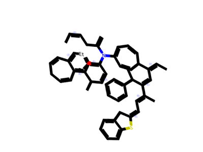 C=C/C(=C1/C=CCC=C/C1=C/CC)C(C)/C=C\C(=C/CC)N(C(=C)C/C=C\C)C1=CC=CC(C(=C/C)/C=C(/C(C)=C/C=C2\Cc3ccccc3S2)C(C)c2ccccc2)C=C1